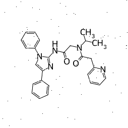 CC(C)N(CC(=O)Nc1nc(-c2ccccc2)cn1-c1ccccc1)C(=O)Cc1ccccn1